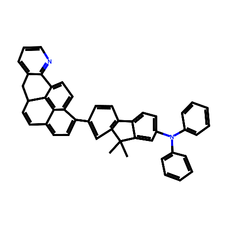 CC1(C)c2cc(-c3ccc4c5c6c(ccc35)-c3ncccc3CC6C=C4)ccc2-c2ccc(N(c3ccccc3)c3ccccc3)cc21